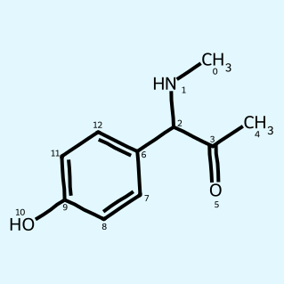 CNC(C(C)=O)c1ccc(O)cc1